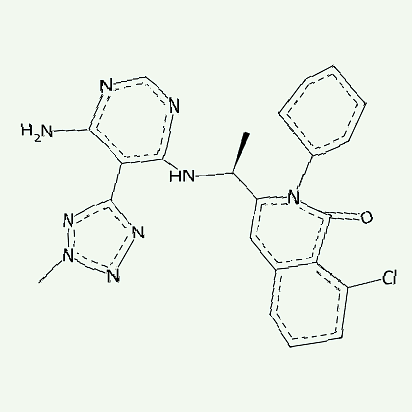 C[C@H](Nc1ncnc(N)c1-c1nnn(C)n1)c1cc2cccc(Cl)c2c(=O)n1-c1ccccc1